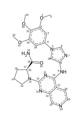 COc1cc(-n2cnc(Nc3nc(N4CCC[C@H]4C(N)=O)nc4cnccc34)c2)cc(OC)c1OC